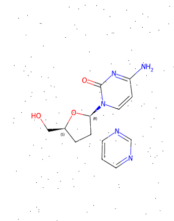 Nc1ccn([C@H]2CC[C@@H](CO)O2)c(=O)n1.c1cncnc1